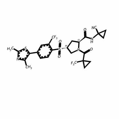 Cc1nc(C)c(-c2ccc(S(=O)(=O)[C@@H]3C[C@@H](C(=O)NC4(C#N)CC4)N(C(=O)C4(C(F)(F)F)CC4)C3)c(C(F)(F)F)c2)s1